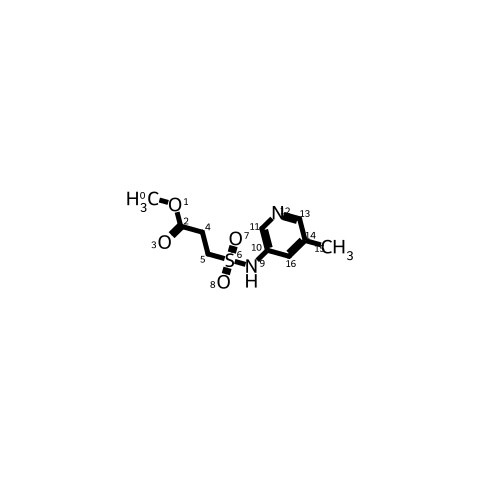 COC(=O)CCS(=O)(=O)Nc1cncc(C)c1